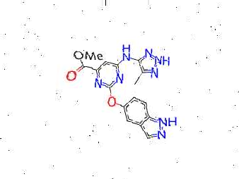 COC(=O)c1cc(Nc2n[nH]nc2C)nc(Oc2ccc3[nH]ncc3c2)n1